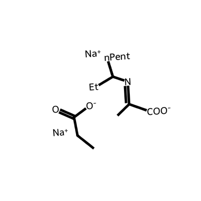 CCC(=O)[O-].CCCCCC(CC)N=C(C)C(=O)[O-].[Na+].[Na+]